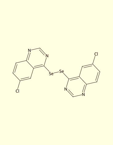 Clc1ccc2ncnc([Se][Se]c3ncnc4ccc(Cl)cc34)c2c1